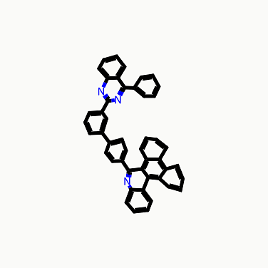 c1ccc(-c2nc(-c3cccc(-c4ccc(-c5nc6ccccc6c6c7ccccc7c7ccccc7c56)cc4)c3)nc3ccccc23)cc1